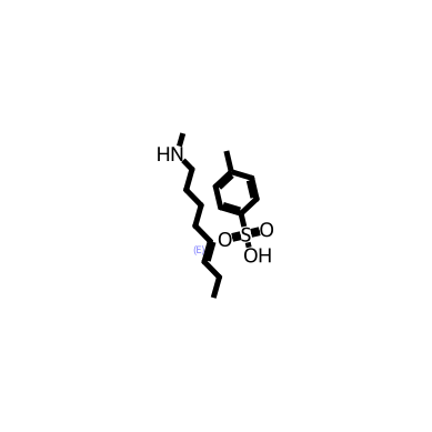 CC/C=C/CCCCNC.Cc1ccc(S(=O)(=O)O)cc1